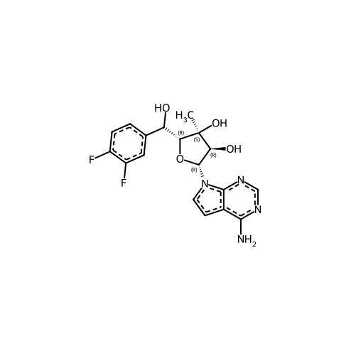 C[C@@]1(O)[C@@H](C(O)c2ccc(F)c(F)c2)O[C@@H](n2ccc3c(N)ncnc32)[C@@H]1O